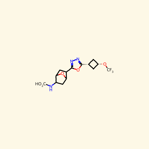 O=C(O)NC1CC2OC1CC2c1nnc([C@H]2C[C@@H](OC(F)(F)F)C2)o1